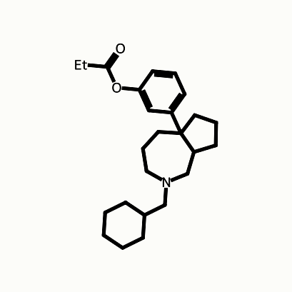 CCC(=O)Oc1cccc(C23CCCC2CN(CC2CCCCC2)CCC3)c1